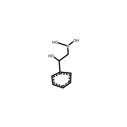 OC(CN(O)O)c1ccccc1